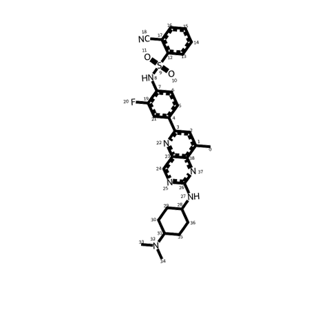 Cc1cc(-c2ccc(NS(=O)(=O)c3ccccc3C#N)c(F)c2)nc2cnc(NC3CCC(N(C)C)CC3)nc12